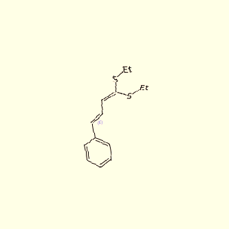 CCSC(=C/C=C/c1ccccc1)SCC